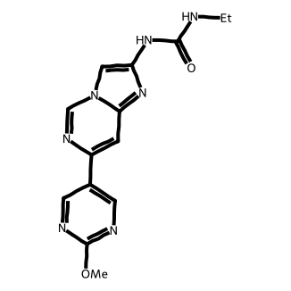 CCNC(=O)Nc1cn2cnc(-c3cnc(OC)nc3)cc2n1